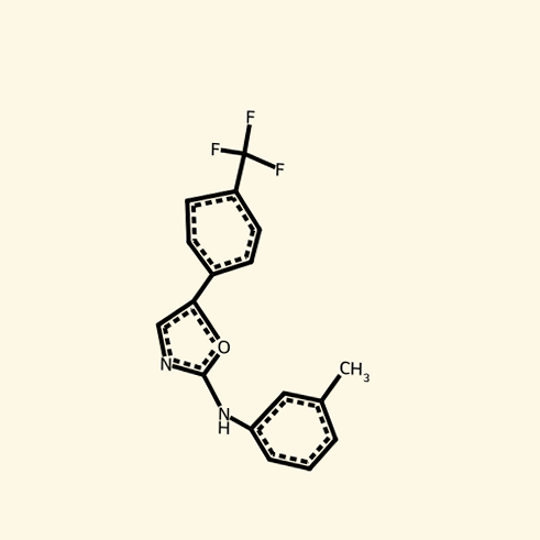 Cc1cccc(Nc2ncc(-c3ccc(C(F)(F)F)cc3)o2)c1